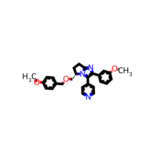 COc1ccc(COC[C@@H]2CCc3nc(-c4cccc(OC)c4)c(-c4ccncc4)n32)cc1